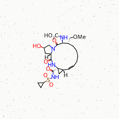 COC[C@@H]1CCCC/C=C\[C@@H]2C[C@@]2(C(=O)NS(=O)(=O)C2CC2)NC(=O)[C@@H]2C[C@@H](O)CN2C(=O)[C@H]1NC(=O)O